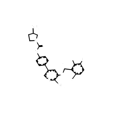 C[C@@H](Oc1cc(-c2ccc(NC(=O)N3CCC(N)C3)cc2)cnc1N)c1c(Cl)ccc(F)c1Cl